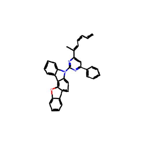 C=C/C=C\C=C(/C)c1cc(-c2ccccc2)nc(-n2c3ccccc3c3c4oc5ccccc5c4ccc32)n1